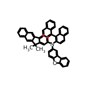 CC1(C)c2cc(N(c3ccc4oc5ccccc5c4c3)c3ccc4ccccc4c3-c3cccc4ccccc34)ccc2-c2cc3ccccc3cc21